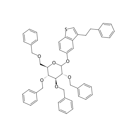 c1ccc(CCc2csc3ccc(OC4O[C@H](COCc5ccccc5)[C@@H](OCc5ccccc5)[C@H](OCc5ccccc5)[C@H]4OCc4ccccc4)cc23)cc1